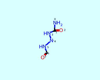 NC(=O)N[N]NC=O